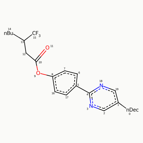 CCCCCCCCCCc1cnc(-c2ccc(OC(=O)CC(CCCC)C(F)(F)F)cc2)nc1